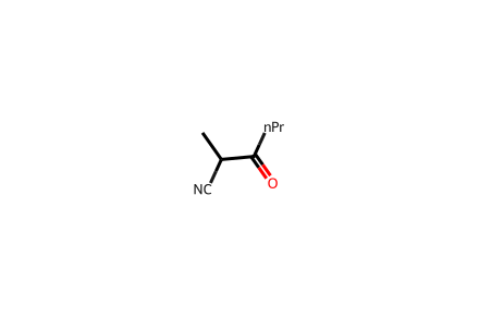 CCCC(=O)C(C)C#N